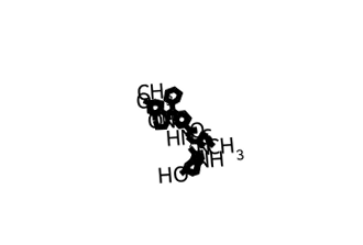 COc1ccc2c(c1)OCCn1c-2c(C2CCCCC2)c2ccc(C(=O)N[C@@H](Cc3c[nH]c4ccc(O)cc34)c3csc(C)n3)cc21